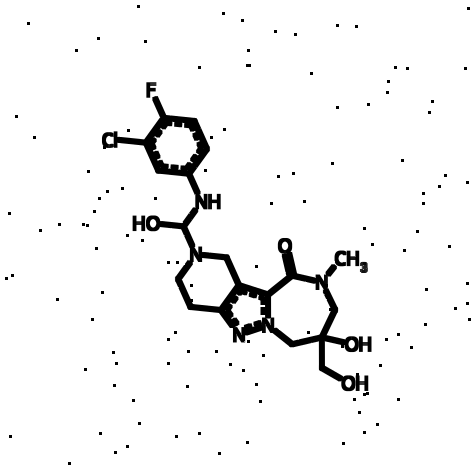 CN1CC(O)(CO)Cn2nc3c(c2C1=O)CN(C(O)Nc1ccc(F)c(Cl)c1)CC3